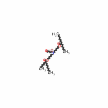 CCCCCCCCC(CCCCCC)C(=O)OCCCCCCN(CCCCCCOC(=O)C(CCCCCC)CCCCCCCC)C(=O)CCC=O